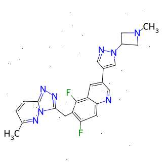 Cc1ccc2nnc(Cc3c(F)cc4ncc(-c5cnn(C6CN(C)C6)c5)cc4c3F)n2n1